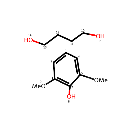 COc1cccc(OC)c1O.OCCCCO